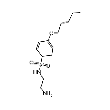 CCCCCOC1=CCC(S(=O)(=O)NCCN)C=C1